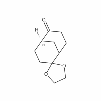 O=C1CCC2C[C@H]1CCC21OCCO1